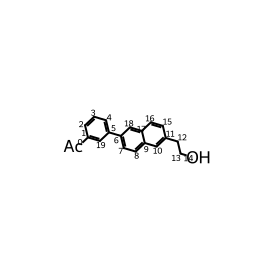 CC(=O)c1cccc(-c2ccc3cc(CCO)ccc3c2)c1